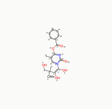 COC(C)(CO)/C(O)=C(/O)n1cc(C)c(OC(=O)c2ccccc2)nc1=O